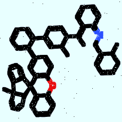 C/C(=C1/C=CC=C/C1=N/CC1=CC=CCC1C)C1C=CC(c2ccccc2-c2ccc3c(c2)[C@]2(c4ccccc4O3)c3ccccc3C3(C)C=CC=CC32)=CC1C